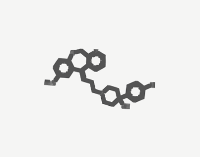 CSc1ccc2c(c1)/C(=C/CCN1CCC(O)(c3ccc(Cl)cc3)CC1)c1cccnc1CO2